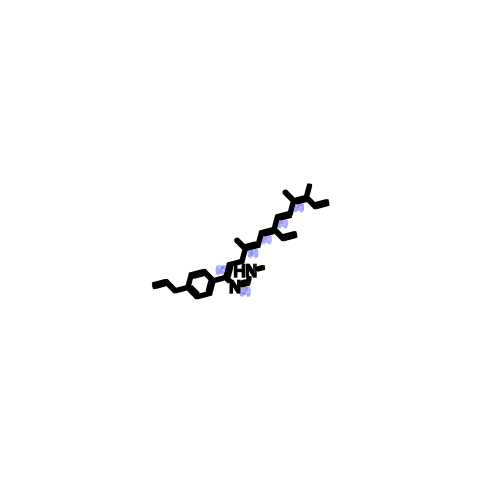 C=CCc1ccc(C(=C/C/C(C)=C/C=C(C=C)/C=C/C(C)=C(/C)C=C)/N=C\NC)cc1